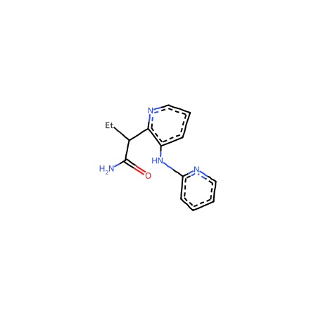 CCC(C(N)=O)c1ncccc1Nc1ccccn1